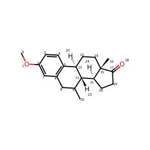 COc1ccc2c(c1)CC(C)[C@@H]1[C@@H]2CC[C@]2(C)C(=O)CC[C@@H]12